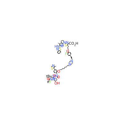 Cc1ncsc1-c1ccc(CNC(=O)[C@@H]2C[C@@H](O)CN2C(=O)[C@@H](NC(=O)C2(F)CC2)C(C)(C)C)c(OCCCCCCCCN2CCN(CC#Cc3ccc(OCCCc4sc(N5CCCc6c5nnc(Nc5nc7ccccc7s5)c6C)nc4C(=O)O)c(F)c3)CC2)c1